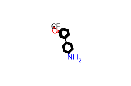 N[C@H]1CC[C@@H](c2cccc(OC(F)(F)F)c2)CC1